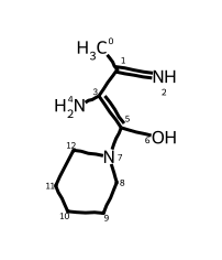 CC(=N)/C(N)=C(\O)N1CCCCC1